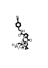 C=CC(C)(C)S(=O)(=O)C1(CN2CCn3c(C(=O)NCc4ccc(C#N)cc4)ccc3C2=O)CC1